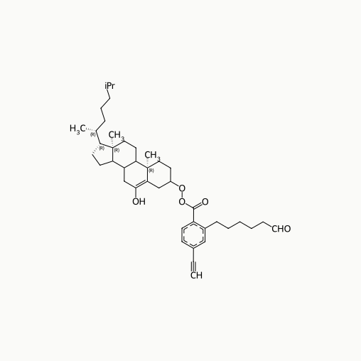 C#Cc1ccc(C(=O)OOC2CC[C@@]3(C)C(=C(O)CC4C3CC[C@@]3(C)C4CC[C@@H]3[C@H](C)CCCC(C)C)C2)c(CCCCCC=O)c1